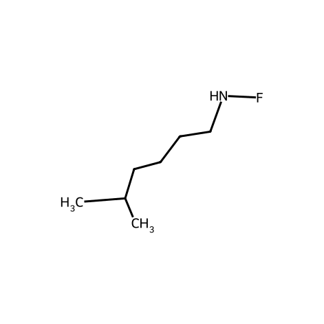 CC(C)CCCCNF